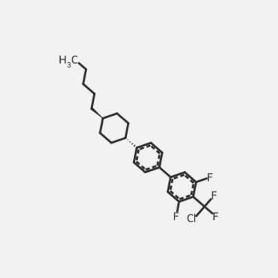 CCCCC[C@H]1CC[C@H](c2ccc(-c3cc(F)c(C(F)(F)Cl)c(F)c3)cc2)CC1